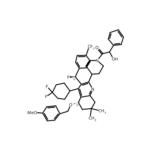 COc1ccc(CO[C@H]2CC(C)(C)Cc3nc(C4CCN(C(=O)C(O)c5ccccc5)CC4)c([C@@H](F)c4ccc(C(F)(F)F)cc4)c(C4CCC(F)(F)CC4)c32)cc1